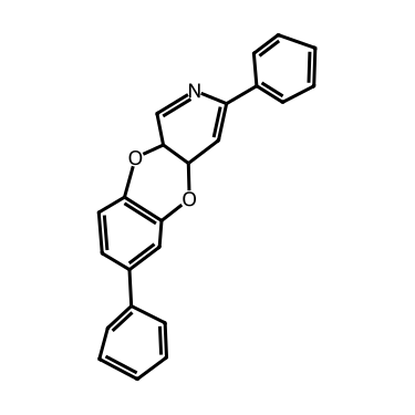 C1=NC(c2ccccc2)=CC2Oc3cc(-c4ccccc4)ccc3OC12